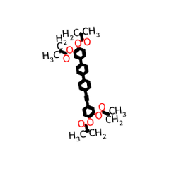 C=C(C)C(=O)Oc1ccc(C#Cc2ccc(-c3ccc(-c4ccc(OC(=O)C(=C)C)c(OC(=O)C(=C)C)c4)cc3)cc2)cc1OC(=O)C(=C)C